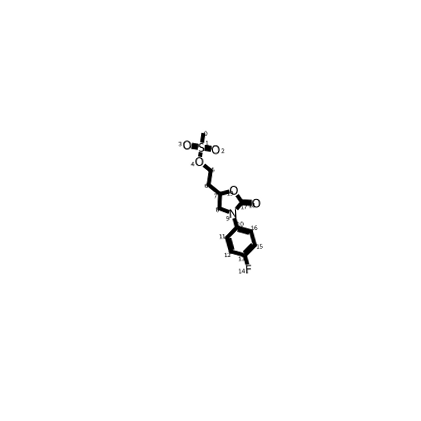 CS(=O)(=O)OCCC1CN(c2ccc(F)cc2)C(=O)O1